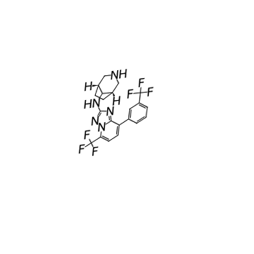 FC(F)(F)c1cccc(-c2ccc(C(F)(F)F)n3nc(NC4[C@@H]5CC[C@H]4CNC5)nc23)c1